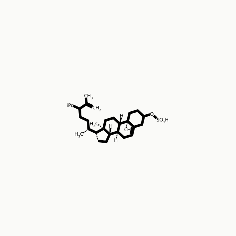 C=C(C)C(CC[C@@H](C)[C@H]1CC[C@H]2[C@@H]3CC=C4CC(OS(=O)(=O)O)CC[C@]4(C)[C@H]3CC[C@]12C)C(C)C